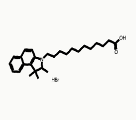 Br.CC1N(CCCCCCCCCCCC(=O)O)c2ccc3ccccc3c2C1(C)C